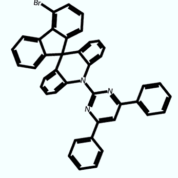 Brc1cccc2c1-c1ccccc1C21c2ccccc2N(c2nc(-c3ccccc3)cc(-c3ccccc3)n2)c2ccccc21